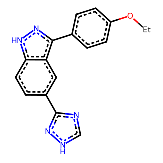 CCOc1ccc(-c2n[nH]c3ccc(-c4nc[nH]n4)cc23)cc1